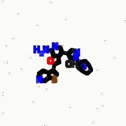 Nc1ncc(-c2cnn(C3CC4CCC(C3)N4C=O)c2)c2cc(-c3csc4cnccc34)oc12